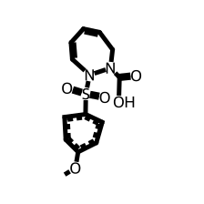 COc1ccc(S(=O)(=O)N2C=CC=CCN2C(=O)O)cc1